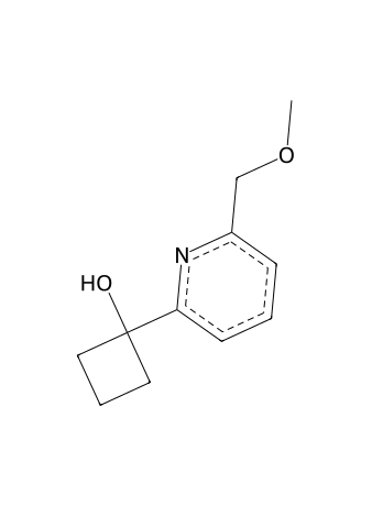 COCc1cccc(C2(O)CCC2)n1